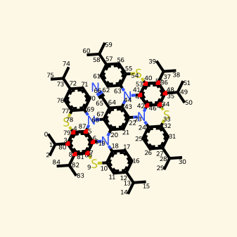 CC(C)c1ccc2c(c1)Sc1cc(C(C)C)ccc1N2c1cc(N2c3ccc(C(C)C)cc3Sc3cc(C(C)C)ccc32)c(N2c3ccc(C(C)C)cc3Sc3cc(C(C)C)ccc32)c(C#N)c1N1c2ccc(C(C)C)cc2Sc2cc(C(C)C)ccc21